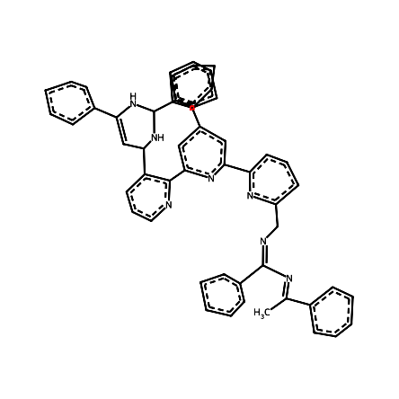 C/C(=N\C(=N/Cc1cccc(-c2cc(-c3ccccc3)cc(-c3ncccc3C3C=C(c4ccccc4)NC(c4ccccc4)N3)n2)n1)c1ccccc1)c1ccccc1